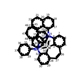 C[Si]1(C)c2c(cccc2N(c2ccccc2)c2cccc3ccccc23)C=Cc2cccc(N(c3ccccc3)c3cccc4ccccc34)c21